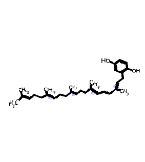 CC(C)=CCC/C(C)=C/CC/C(C)=C/CC/C(C)=C/CC/C(C)=C/Cc1cc(O)ccc1O